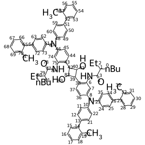 CCCCC(CC)C(=O)Nc1cc(N(c2ccc(-c3ccccc3C)cc2)c2ccc(-c3ccccc3C)cc2)ccc1C1C(O)C(c2ccc(N(c3ccc(-c4ccccc4C)cc3)c3ccc(-c4ccccc4C)cc3)cc2NC(=O)C(CC)CCCC)C1O